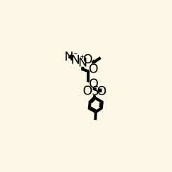 CC(=O)OC(CN=[N+]=[N-])COS(=O)(=O)c1ccc(C)cc1